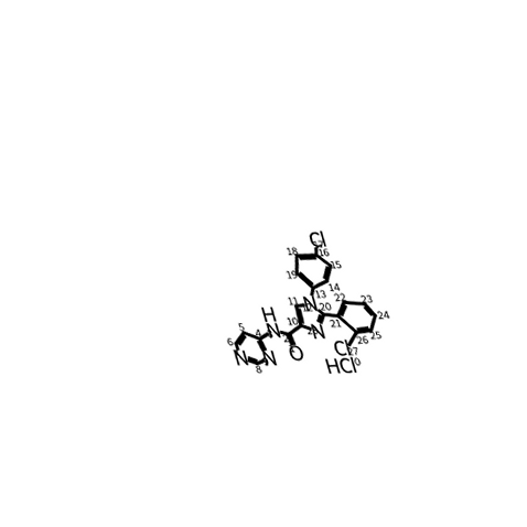 Cl.O=C(Nc1ccncn1)c1cn(-c2ccc(Cl)cc2)c(-c2ccccc2Cl)n1